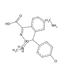 CN.CNOC(c1ccc(Cl)cc1)c1ccccc1/C(=N\OC)C(=O)O